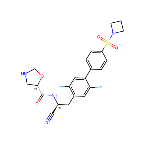 N#C[C@H](Cc1cc(F)c(-c2ccc(S(=O)(=O)N3CCC3)cc2)cc1F)NC(=O)[C@@H]1CNCO1